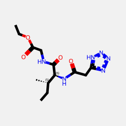 CCOC(=O)CNC(=O)[C@@H](NC(=O)Cc1nnn[nH]1)[C@@H](C)CC